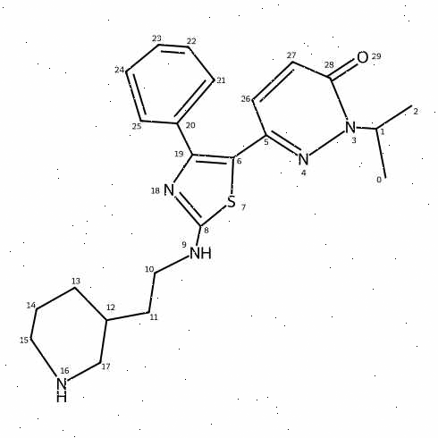 CC(C)n1nc(-c2sc(NCCC3CCCNC3)nc2-c2ccccc2)ccc1=O